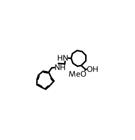 COC(O)C1CCCCCC(NCCNCc2ccccccccc2)CC1